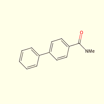 CNC(=O)c1ccc(-c2ccccc2)cc1